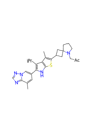 CC(=O)CN1CCCC12CC(c1sc3[nH]c(-c4cc(C)c5ncnn5c4)c(C(C)C)c3c1C)C2